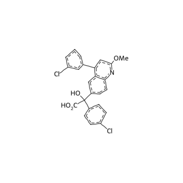 COc1cc(-c2cccc(Cl)c2)c2cc(C(O)(C(=O)O)c3ccc(Cl)cc3)ccc2n1